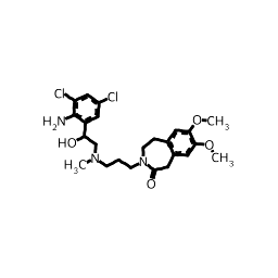 COc1cc2c(cc1OC)CC(=O)N(CCCN(C)CC(O)c1cc(Cl)cc(Cl)c1N)CC2